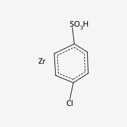 O=S(=O)(O)c1ccc(Cl)cc1.[Zr]